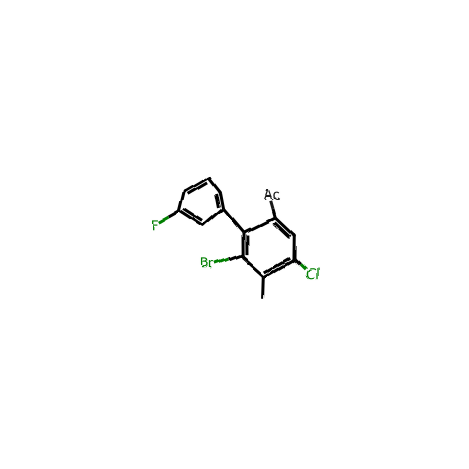 CC(=O)c1cc(Cl)c(C)c(Br)c1-c1cccc(F)c1